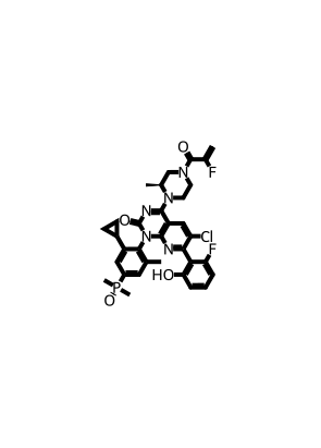 C=C(F)C(=O)N1CCN(c2nc(=O)n(-c3c(C)cc(P(C)(C)=O)cc3C3CC3)c3nc(-c4c(O)cccc4F)c(Cl)cc23)[C@@H](C)C1